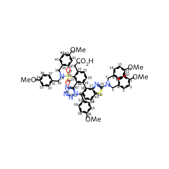 COc1ccc(CN(Cc2ccc(OC)cc2)c2nc3c(-c4ccc(CC(=O)O)c(S(=O)(=O)N(Cc5ccc(OC)cc5)Cc5ccc(OC)cc5)c4-c4nnnn4Cc4ccc(OC)cc4)cccc3s2)cc1